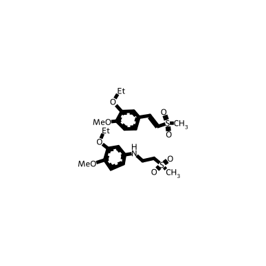 CCOc1cc(C=CS(C)(=O)=O)ccc1OC.CCOc1cc(NCCS(C)(=O)=O)ccc1OC